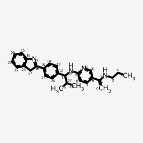 C=C(NCCC)c1ccc(NC(c2ccc(C3=Nc4ccccc4C3)cc2)C(C)C)nc1